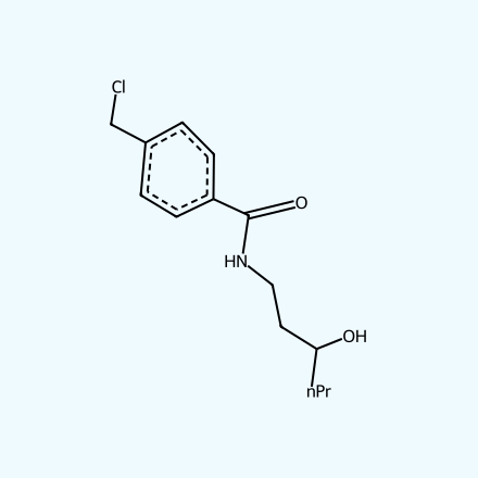 CCCC(O)CCNC(=O)c1ccc(CCl)cc1